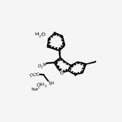 Cc1ccc2oc([N+](=O)[O-])c(-c3ccccc3)c2c1.O.O.O=C([O-])CS.[Na+]